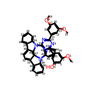 COc1cc(O)cc(-c2nc(-c3cc(OC)cc(OC)c3)nc(-n3c4ccccc4c4ccc5c6ccccc6n(-c6ccccc6)c5c43)n2)c1